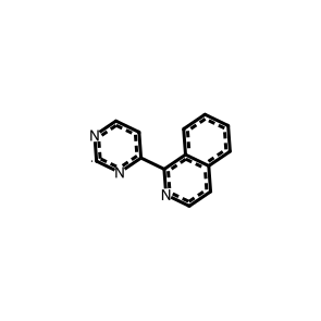 [c]1nccc(-c2nccc3ccccc23)n1